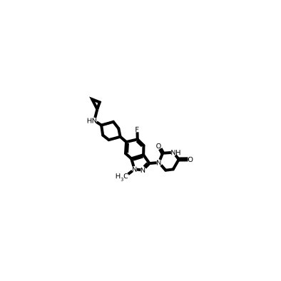 Cn1nc(N2CCC(=O)NC2=O)c2cc(F)c(C3CCC(NC4CC4)CC3)cc21